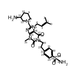 CC(C)=CCn1c(N2CCCC(N)C2)nc2c1c(=O)n(CCc1ccc(S(N)(=O)=O)cc1)c(=O)n2C